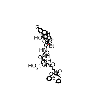 CCC(=O)O[C@]1(C(=O)COCNC(=O)CNC(=O)[C@H](CCC(=O)O)NC(=O)CNC(=O)CCN2C(=O)C(Sc3ccccc3)=C(Sc3ccccc3)C2=O)[C@@H](C)CC2[C@@H]3CCC4=CC(=O)C=C[C@]4(C)[C@@]3(Cl)[C@@H](O)C[C@@]21C